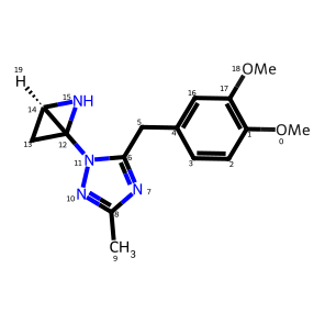 COc1ccc(Cc2nc(C)nn2C23C[C@H]2N3)cc1OC